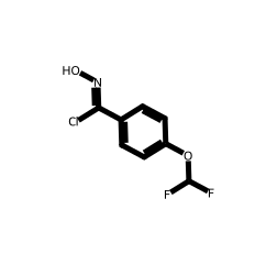 ON=C(Cl)c1ccc(OC(F)F)cc1